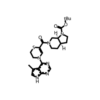 Cc1c[nH]c2ncnc(N3C=C(C(=O)N4CC[C@@H]5CCN(C(=O)OC(C)(C)C)[C@@H]5C4)SCC3)c12